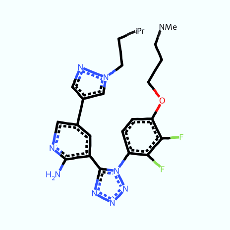 CNCCCOc1ccc(-n2nnnc2-c2cc(-c3cnn(CCC(C)C)c3)cnc2N)c(F)c1F